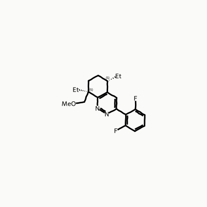 CC[C@H]1CC[C@](CC)(COC)c2nnc(-c3c(F)cccc3F)cc21